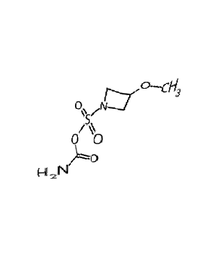 COC1CN(S(=O)(=O)OC(N)=O)C1